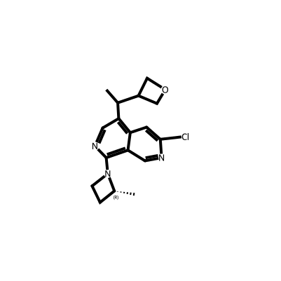 CC(c1cnc(N2CC[C@H]2C)c2cnc(Cl)cc12)C1COC1